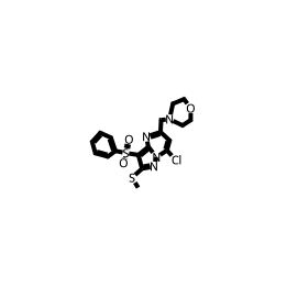 CSc1nn2c(Cl)cc(CN3CCOCC3)nc2c1S(=O)(=O)c1ccccc1